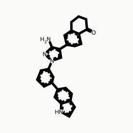 Nc1nn(-c2cccc(-c3ccc4cc[nH]c4c3)c2)cc1-c1ccc2c(c1)CCCC2=O